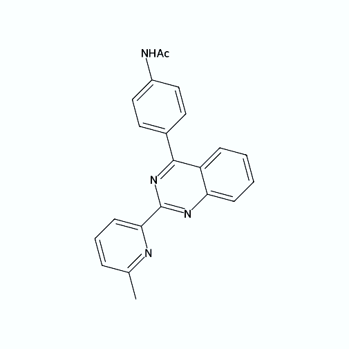 CC(=O)Nc1ccc(-c2nc(-c3cccc(C)n3)nc3ccccc23)cc1